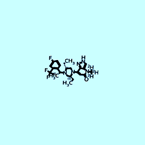 [2H]C([2H])([2H])n1c(=O)cc(N2C[C@@H](CC)N(C(C)c3ccc(F)cc3C(F)(F)F)C[C@@H]2CC)c2n[nH]cc21